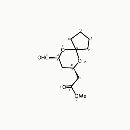 COC(=O)C[C@H]1C[C@@H](C=O)OC2(CCCC2)O1